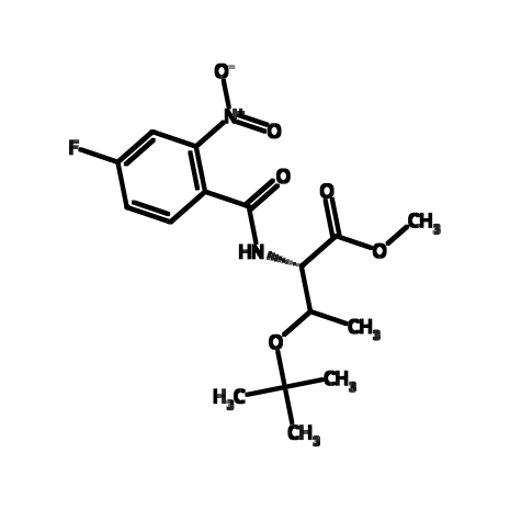 COC(=O)[C@@H](NC(=O)c1ccc(F)cc1[N+](=O)[O-])C(C)OC(C)(C)C